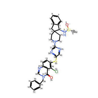 CC(C)(C)[S@@+]([O-])N[C@@H]1c2ccccc2CC12CCN(c1cnc(Sc3ccc4ncn(Cc5ccccc5)c(=O)c4c3Cl)cn1)CC2